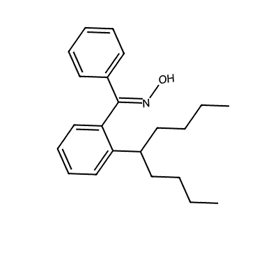 CCCCC(CCCC)c1ccccc1C(=NO)c1ccccc1